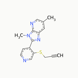 C#CCSc1cnccc1-c1nc2cc(C)cnc2n1C